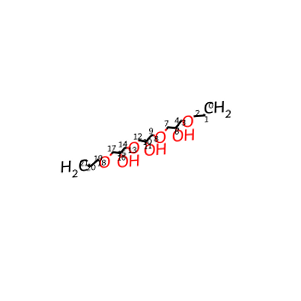 C=CCOCC(O)COCC(O)COCC(O)COCC=C